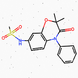 CC1(C)Oc2cc(NS(C)(=O)=O)ccc2N(c2ccccc2)C1=O